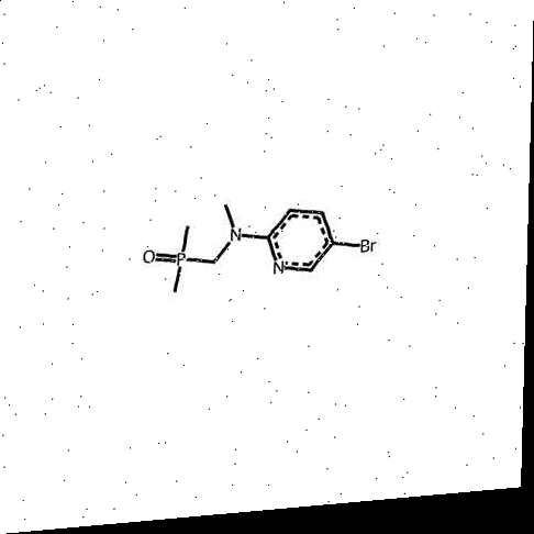 CN(CP(C)(C)=O)c1ccc(Br)cn1